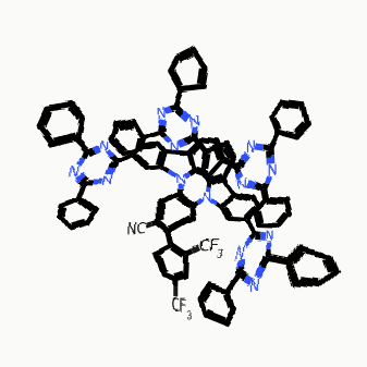 N#Cc1cc(-n2c3cc(-c4nc(-c5ccccc5)nc(-c5ccccc5)n4)ccc3c3ccc(-c4nc(-c5ccccc5)nc(-c5ccccc5)n4)cc32)c(-n2c3cc(-c4nc(-c5ccccc5)nc(-c5ccccc5)n4)ccc3c3ccc(-c4nc(-c5ccccc5)nc(-c5ccccc5)n4)cc32)cc1-c1ccc(C(F)(F)F)cc1C(F)(F)F